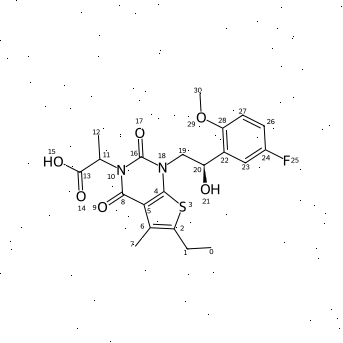 CCc1sc2c(c1C)c(=O)n(C(C)C(=O)O)c(=O)n2C[C@H](O)c1cc(F)ccc1OC